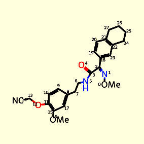 CON=C(C(=O)NCCc1ccc(OCC#N)c(OC)c1)c1ccc2c(c1)CCCC2